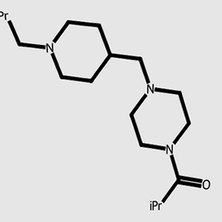 CC(C)CN1CCC(CN2CCN(C(=O)C(C)C)CC2)CC1